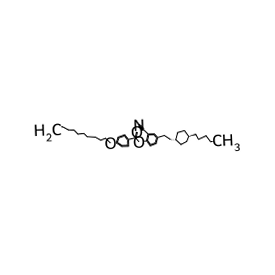 C=CCCCCCCCCOc1ccc(C(=O)Oc2ccc(CC[C@H]3CC[C@H](CCCCC)CC3)cc2C#N)cc1